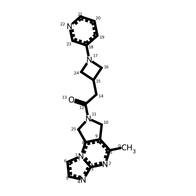 Cc1nc2nccn2c2c1CN(C(=O)CC1CN(c3cccnc3)C1)C2